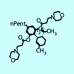 C=C(C)[C@@H]1CCC(C)=C[C@H]1c1c(OC(=O)CCN2CCOCC2)cc(CCCCC)cc1OC(=O)CCN1CCOCC1